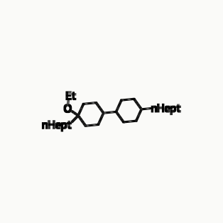 CCCCCCCC1CCC(C2CCC(CCCCCCC)(OCC)CC2)CC1